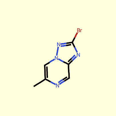 Cc1cn2nc(Br)nc2cn1